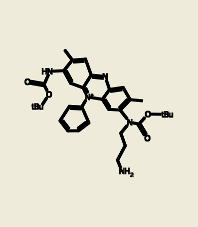 Cc1cc2nc3cc(C)c(N(CCCN)C(=O)OC(C)(C)C)cc3[n+](-c3ccccc3)c2cc1NC(=O)OC(C)(C)C